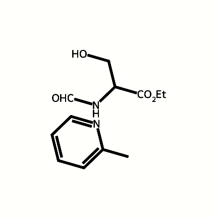 CCOC(=O)C(CO)NC=O.Cc1ccccn1